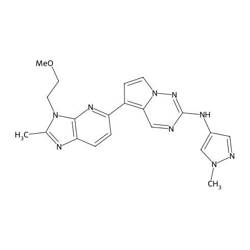 COCCn1c(C)nc2ccc(-c3ccn4nc(Nc5cnn(C)c5)ncc34)nc21